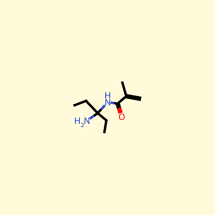 C=C(C)C(=O)NC(N)(CC)CC